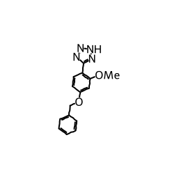 COc1cc(OCc2ccccc2)ccc1-c1nn[nH]n1